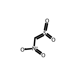 O=[N+]([O-])C=S(=O)=O